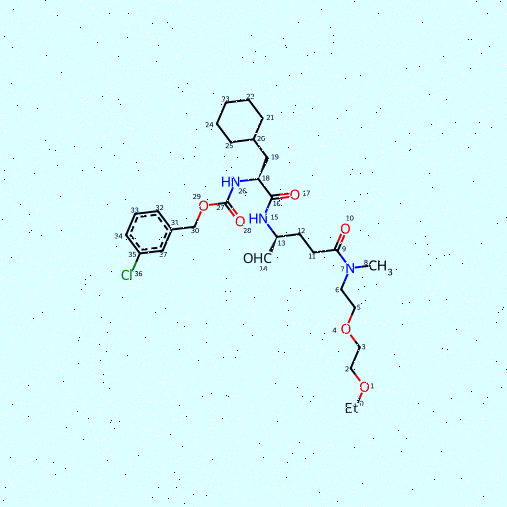 CCOCCOCCN(C)C(=O)CC[C@@H](C=O)NC(=O)[C@H](CC1CCCCC1)NC(=O)OCc1cccc(Cl)c1